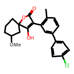 COC1CCCC2(C1)OC(=O)C(c1cc(-c3ccc(Cl)cc3)ccc1C)=C2O